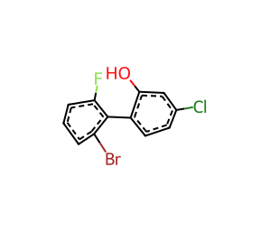 Oc1cc(Cl)ccc1-c1c(F)cccc1Br